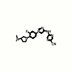 CN(C)C1CCN(c2ccc(-n3cnc(Nc4cnc(C#N)cn4)c3)cc2F)C1